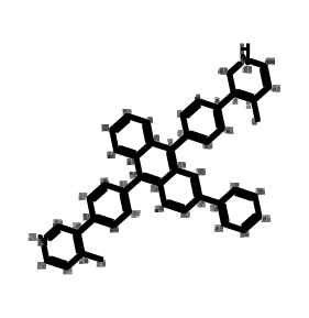 CC1=C(c2ccc(-c3c4ccccc4c(-c4ccc(-c5cnccc5C)cc4)c4ccc(-c5ccccc5)cc34)cc2)CNC=C1